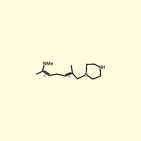 CN/C(C)=C\C/C=C(\C)CN1CCNCC1